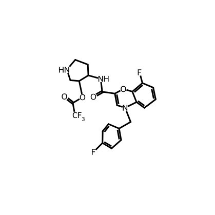 O=C(NC1CCNCC1OC(=O)C(F)(F)F)C1=CN(Cc2ccc(F)cc2)c2cccc(F)c2O1